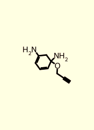 C#CCOC1(N)C=CC=C(N)C1